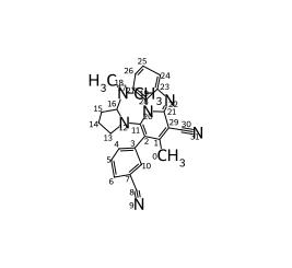 Cc1c(-c2cccc(C#N)c2)c(N2CCCC2N(C)C)n2c(nc3ccccc32)c1C#N